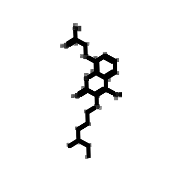 CCC(C)CCCOc1c(O)c2cccc(OCC(=O)O)c2oc1=O